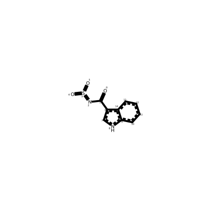 O=C(N=S(=O)=O)c1c[nH]c2ccccc12